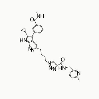 CNC(=O)c1cccc(-c2c(C3CC3)[nH]c3nnc(CCCCn4cc(C(=O)NCc5ccc(C)nc5)nn4)cc23)c1